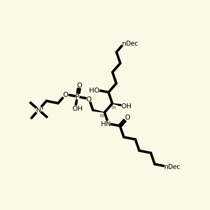 CCCCCCCCCCCCCCCC(=O)N[C@@H](COP(=O)(O)OCC[N+](C)(C)C)[C@H](O)C(O)CCCCCCCCCCCCCC